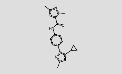 Cc1cc(C2CC2)n(-c2ccc(NC(=O)c3sc(C)nc3C)cc2)n1